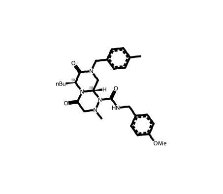 CCCC[C@H]1C(=O)N(Cc2ccc(C)cc2)C[C@H]2N1C(=O)CN(C)N2C(=O)NCc1ccc(OC)cc1